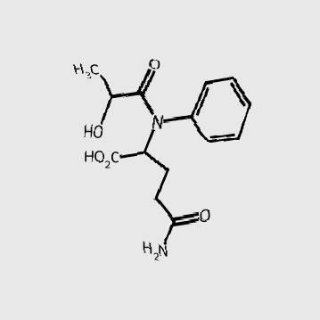 CC(O)C(=O)N(c1ccccc1)C(CCC(N)=O)C(=O)O